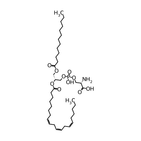 CCCCC/C=C\C/C=C\C/C=C\CCCCCCC(=O)O[C@H](COC(=O)CCCCCCCCCCCC)COP(=O)(O)OC[C@H](N)C(=O)O